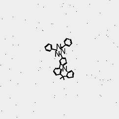 CC1(C)c2ccccc2-n2c3ccc(-c4nc(-c5ccccc5)nc(-c5ccccc5)n4)cc3c3cccc1c32